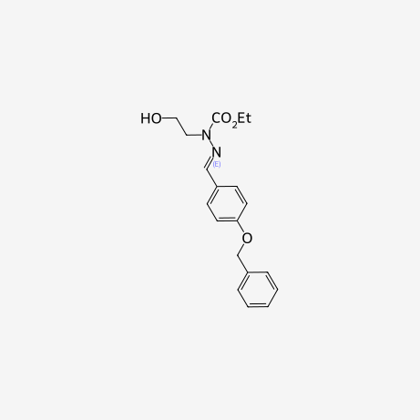 CCOC(=O)N(CCO)/N=C/c1ccc(OCc2ccccc2)cc1